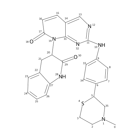 CN1CCSC(c2ccc(Nc3ncc4ccc(=O)n(C5Cc6ccccc6NC5=O)c4n3)cc2)C1